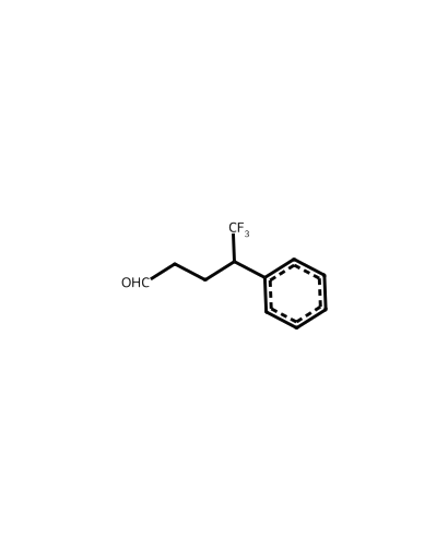 O=CCCC(c1ccccc1)C(F)(F)F